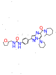 CC1CCCCCN1C(=O)c1cc(N2CCCCC2)n2nc(-c3ccc(NC(=O)NCC4CCCO4)cc3)cc2n1